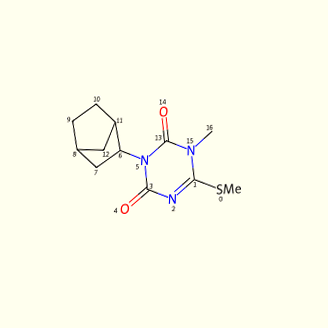 CSc1nc(=O)n(C2CC3CCC2C3)c(=O)n1C